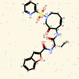 CC(C)C[C@H](NC(=O)c1cc2ccccc2o1)C(=O)NC1/C=C\CCN(S(=O)(=O)c2ccccn2)CC1=O